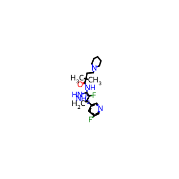 C=C(/C(F)=C(\NN)NC(=O)C(C)(C)CCN1CCCCC1)c1cncc(F)c1